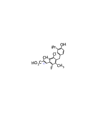 C/C(=C\c1cc(Cl)c(Cc2ccc(O)c(C(C)C)c2)c(C)c1F)C(=O)O